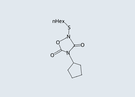 CCCCCCSn1oc(=O)n(C2CCCC2)c1=O